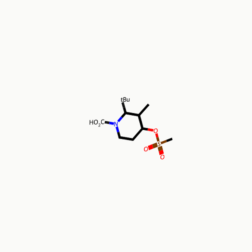 CC1C(OS(C)(=O)=O)CCN(C(=O)O)C1C(C)(C)C